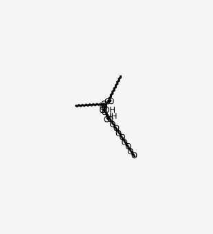 CCCCCCCCCCCCCCCC(=O)OC[C@H](COP(=O)(O)OCCNC(=O)OCCOCCOCCOCCOCCOCCOCCOCCOC)OC(=O)CCCCCCCCCCCCCCC